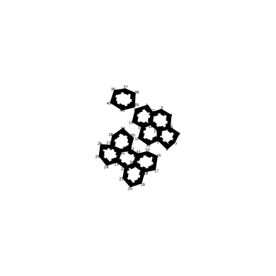 c1cc2ccc3cccc4ccc(c1)c2c34.c1cc2cccc3c4cccc5cccc(c(c1)c23)c54.c1ccccc1